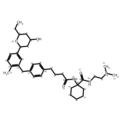 CCC1CC(O)CC(c2ccc(C)c(Cc3ccc(CCCC(=O)NC4(C(=O)NCCN(C)C)CCCCC4)cc3)c2)O1